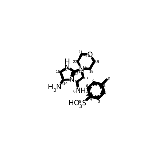 Cc1ccc(S(=O)(=O)O)cc1.NCC[N+]1(C2=NC(N)CN2)CCOCC1